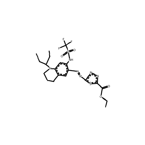 CCOC(=O)c1nnc(N=Nc2cc3c(cc2NS(=O)(=O)C(F)(F)F)N(C(CC)CC)CCC3)s1